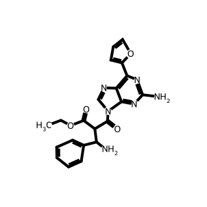 CCOC(=O)C(C(=O)n1cnc2c(-c3ccco3)nc(N)nc21)C(N)c1ccccc1